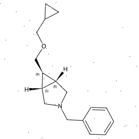 c1ccc(CN2C[C@@H]3[C@@H](COCC4CC4)[C@@H]3C2)cc1